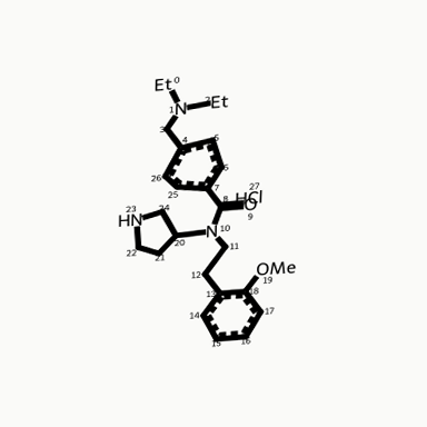 CCN(CC)Cc1ccc(C(=O)N(CCc2ccccc2OC)C2CCNC2)cc1.Cl